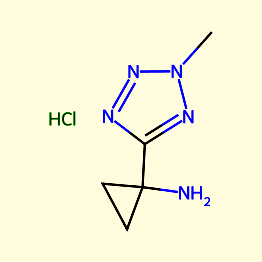 Cl.Cn1nnc(C2(N)CC2)n1